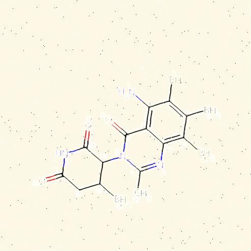 Bc1c(B)c(N)c2c(=O)n(C3C(=O)NC(=O)CC3B)c(C)nc2c1B